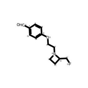 O=Cc1ccc(OCCN2CCC2CF)cc1